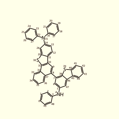 c1ccc(Nc2cc(-c3cc4c5ccc(N(c6ccccc6)c6ccccc6)cc5sc4c4ccccc34)c3sc4ccccc4c3c2)cc1